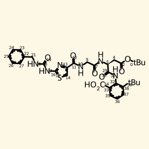 CC(C)(C)OC(=O)C[C@H](NC(=O)CNC(=O)c1csc(NC(=O)NCc2ccccc2)n1)C(=O)Nc1c(C(=O)O)cccc1C(C)(C)C